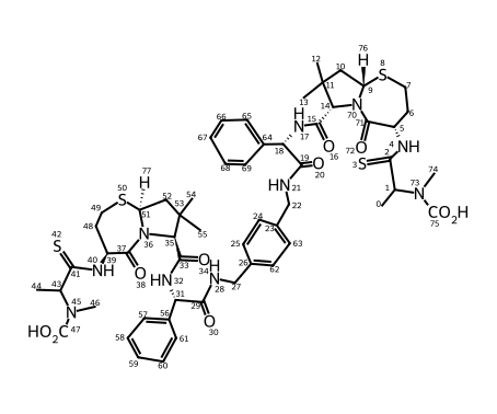 CC(C(=S)N[C@H]1CCS[C@H]2CC(C)(C)[C@@H](C(=O)N[C@H](C(=O)NCc3ccc(CNC(=O)[C@@H](NC(=O)[C@H]4N5C(=O)[C@@H](NC(=S)C(C)N(C)C(=O)O)CCS[C@H]5CC4(C)C)c4ccccc4)cc3)c3ccccc3)N2C1=O)N(C)C(=O)O